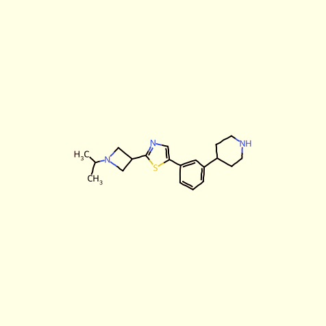 CC(C)N1CC(c2ncc(-c3cccc(C4CCNCC4)c3)s2)C1